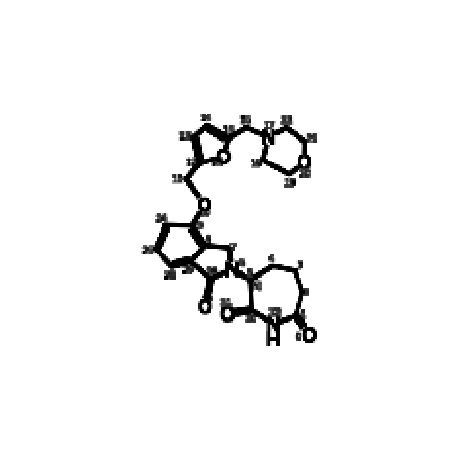 O=C1CCC[C@H](N2Cc3c(OCc4ccc(CN5CCOCC5)o4)cccc3C2=O)C(=O)N1